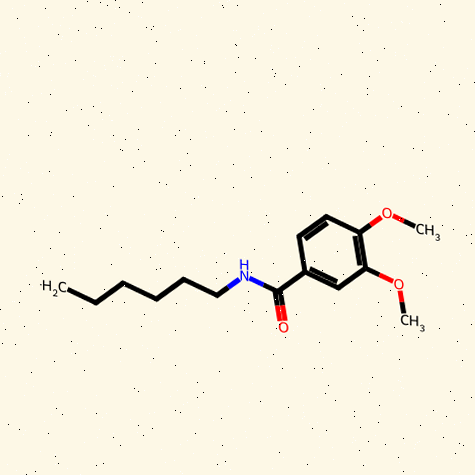 [CH2]CCCCCNC(=O)c1ccc(OC)c(OC)c1